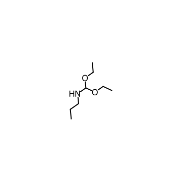 CCCNC(OCC)OCC